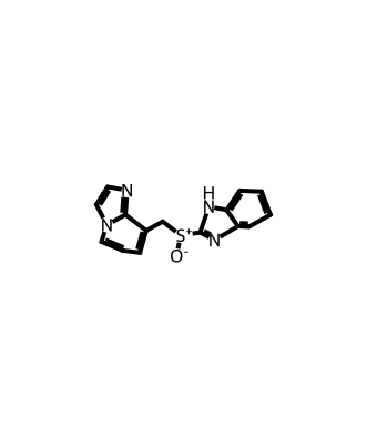 [O-][S+](Cc1cccn2ccnc12)c1nc2ccccc2[nH]1